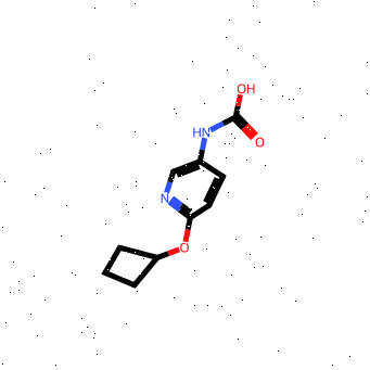 O=C(O)Nc1ccc(OC2CCC2)nc1